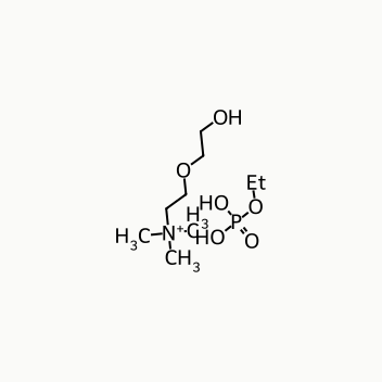 CCOP(=O)(O)O.C[N+](C)(C)CCOCCO